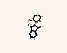 O=C1c2ccccc2C(=O)N1[C@H]1CCOC[C@@H]1F